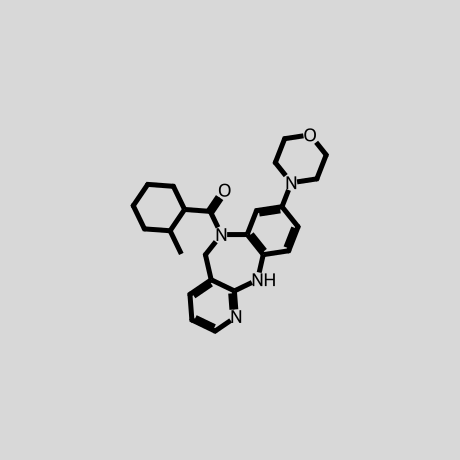 CC1CCCCC1C(=O)N1Cc2cccnc2Nc2ccc(N3CCOCC3)cc21